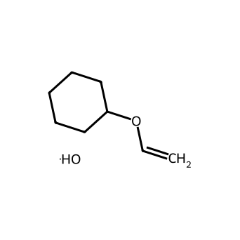 C=COC1CCCCC1.[OH]